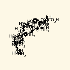 C[C@H](NC(=O)[C@@H]1CCCN1C(=O)[C@H](Cc1c[nH]cn1)NC(=O)[C@H](CS)NC(=O)[C@H](CS)NC(=O)[C@@H](N)CCCNC(=N)N)C(=O)N[C@@H](CS)C(=O)NCC(=O)N[C@@H](CCCCN)C(=O)N[C@@H](CC(N)=O)C(=O)N[C@@H](Cc1ccc(O)cc1)C(=O)N[C@@H](CO)C(=O)N[C@@H](CS)C(=O)O